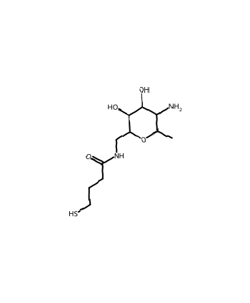 CC1OC(CNC(=O)CCCS)C(O)C(O)C1N